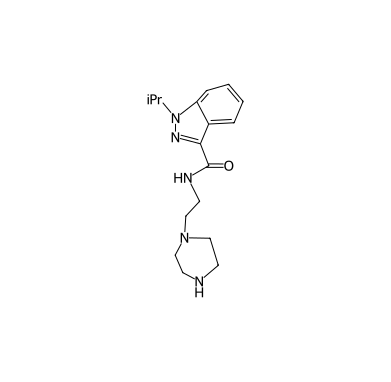 CC(C)n1nc(C(=O)NCCN2CCNCC2)c2ccccc21